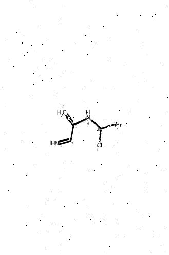 C=C(C=N)NC(Cl)C(C)C